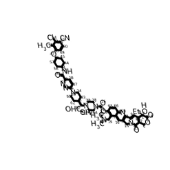 CC[C@@]1(O)C(=O)OCc2c1cc1n(c2=O)Cc2cc3c(CN(C)C)c(OC(=O)N4CCN(CC5CCN(c6ccc(C(=O)NC7CCC(Oc8ccc(C#N)c(Cl)c8C)CC7)nn6)CC5)CC4)ccc3nc2-1.O=CO